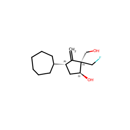 C=C1[C@@H](C2CCCCCC2)C[C@H](O)[C@]1(CO)CF